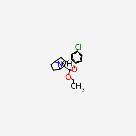 CCOC(=O)[C@H]1C2CCC(C[C@@H]1c1cccc(Cl)c1)N2C